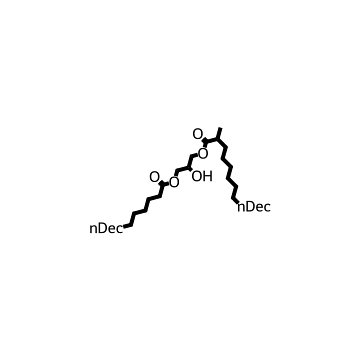 CCCCCCCCCCCCCCCCC(C)C(=O)OCC(O)COC(=O)CCCCCCCCCCCCCCC